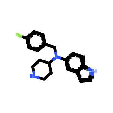 Fc1ccc(CN(c2ccc3[nH]ccc3c2)C2CCNCC2)cc1